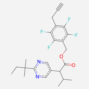 C#CCc1c(F)c(F)c(COC(=O)C(c2cnc(C(C)(C)CC)nc2)C(C)C)c(F)c1F